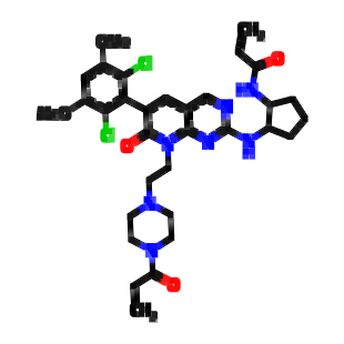 C=CC(=O)NC1CCCC1Nc1ncc2cc(-c3c(Cl)c(OC)cc(OC)c3Cl)c(=O)n(CCN3CCN(C(=O)C=C)CC3)c2n1